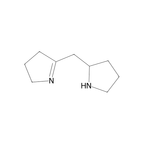 C1CN=C(CC2CCCN2)C1